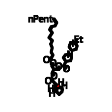 CCCCC/C=C\C/C=C\CCCCCCCC(=O)OCC(COC(=O)C1CCN(C2CCN(CC)CC2)CC1)COC(=O)C1[C@@H]2[C@H]3CC[C@H](C3)[C@H]12